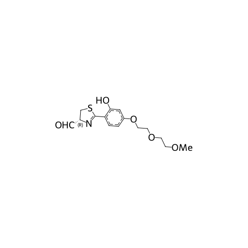 COCCOCCOc1ccc(C2=N[C@H](C=O)CS2)c(O)c1